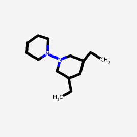 CCC1CC(CC)CN(N2CCCCC2)C1